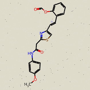 COc1ccc(NC(=O)Cc2nc(/C=C/c3ccccc3OC=O)cs2)cc1